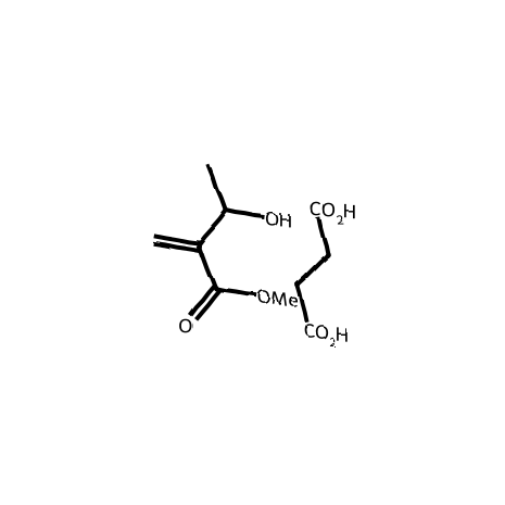 C=C(C(=O)OC)C(C)O.O=C(O)CCC(=O)O